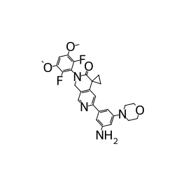 COc1cc(OC)c(F)c(N2Cc3cnc(-c4cc(N)cc(N5CCOCC5)c4)cc3C3(CC3)C2=O)c1F